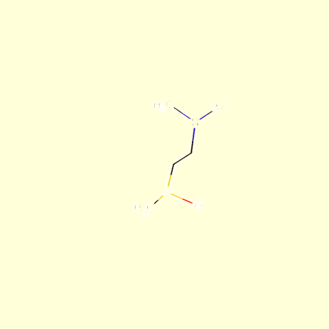 CC(=O)N(C)CC[S+](C)[O-]